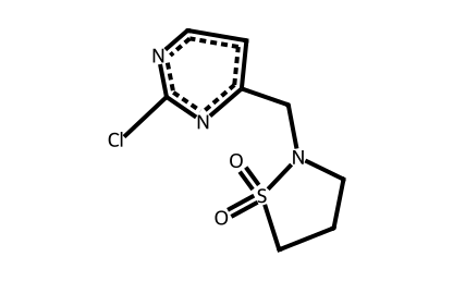 O=S1(=O)CCCN1Cc1ccnc(Cl)n1